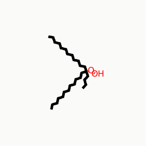 CCCCCCCCCCCCC(CCCC)(CCCCCCCCCCCC)OO